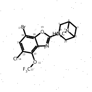 O=C(O)N1C2CC1CN(c1nc3c(OC(F)(F)F)c(Cl)cc(Br)c3o1)C2